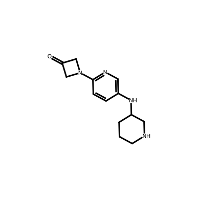 O=C1CN(c2ccc(NC3CCCNC3)cn2)C1